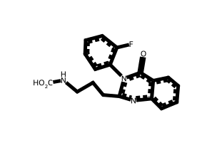 O=C(O)NCCCc1nc2ccccc2c(=O)n1-c1ccccc1F